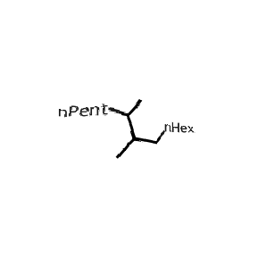 [CH2]CCCCCCC(C)C(C)CCCC[CH2]